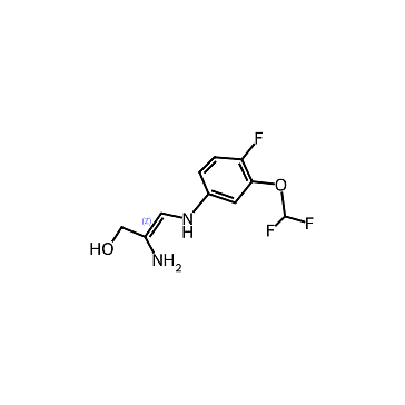 N/C(=C\Nc1ccc(F)c(OC(F)F)c1)CO